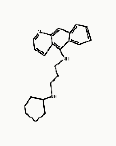 c1ccc2c(NCCCNC3CCCCC3)c3cccnc3cc2c1